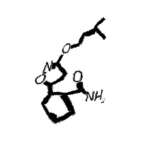 CC(C)=CCOC1=NOC(c2ccccc2C(N)=O)C1